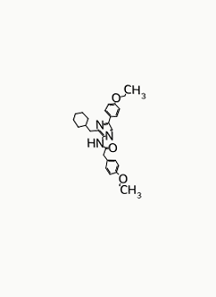 CCOc1ccc(CC(=O)Nc2ncc(-c3ccc(OCC)cc3)nc2CC2CCCCC2)cc1